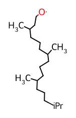 CC(C)CCCC(C)CCCC(C)CCCC(C)CC[O]